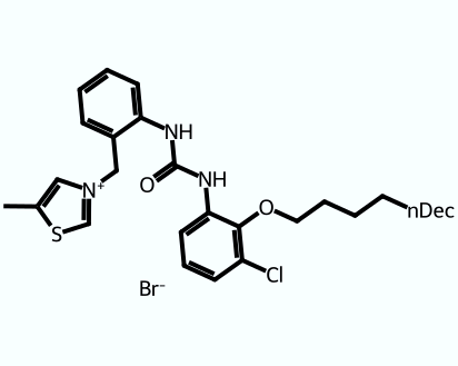 CCCCCCCCCCCCCCOc1c(Cl)cccc1NC(=O)Nc1ccccc1C[n+]1csc(C)c1.[Br-]